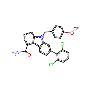 NC(=O)c1cccc2c1c1[c]cc(-c3c(Cl)cccc3Cl)cc1n2Cc1ccc(OC(F)(F)F)cc1